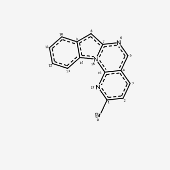 Brc1ccc2cnc3cc4ccccc4n3c2n1